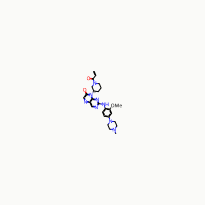 C=CC(=O)N1CCC[C@H](n2c(=O)cnc3cnc(Nc4ccc(N5CCN(C)CC5)cc4OC)nc32)C1